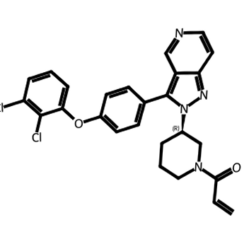 C=CC(=O)N1CCC[C@@H](n2nc3ccncc3c2-c2ccc(Oc3cccc(Cl)c3Cl)cc2)C1